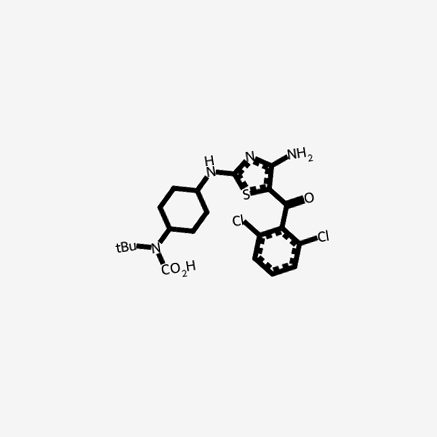 CC(C)(C)N(C(=O)O)C1CCC(Nc2nc(N)c(C(=O)c3c(Cl)cccc3Cl)s2)CC1